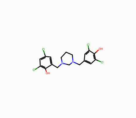 Oc1c(Cl)cc(CN2CCCN(Cc3cc(Cl)cc(Cl)c3O)C2)cc1Cl